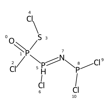 O=P(Cl)(SCl)/[PH](Cl)=N/P(Cl)Cl